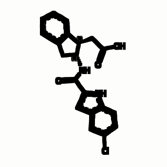 O=C(O)C[C@@H]1c2ccccc2C[C@H]1NC(=O)c1cc2cc(Cl)ccc2[nH]1